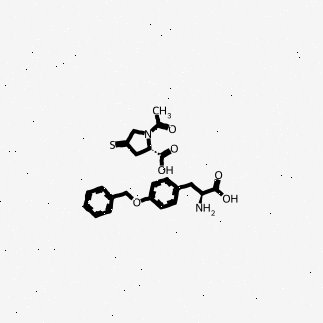 CC(=O)N1CC(=S)C[C@H]1C(=O)O.N[C@@H](Cc1ccc(OCc2ccccc2)cc1)C(=O)O